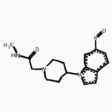 CNC(=O)CN1CCC(n2ccc3ccc(N=O)cc32)CC1